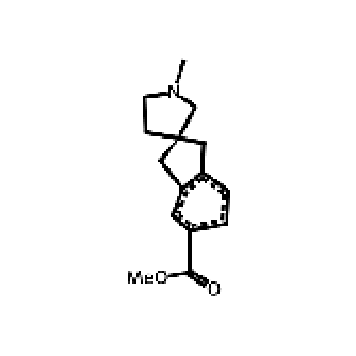 COC(=O)c1ccc2c(c1)C[C@]1(CCN(C)C1)C2